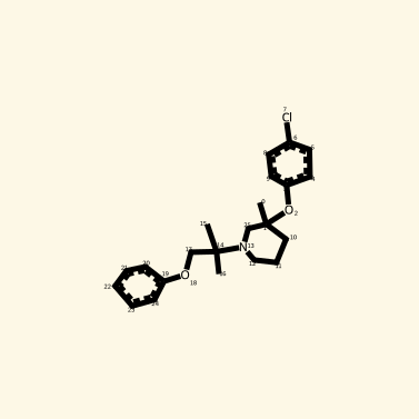 CC1(Oc2ccc(Cl)cc2)CCCN(C(C)(C)COc2ccccc2)C1